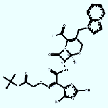 CC(C)(C)OC(=O)CO/N=C(\C(=O)N[C@@H]1C(=O)N2C(C(=O)[O-])=C(Cn3cc[n+]4ccccc34)CS[C@@H]12)c1nc(N)sc1Br